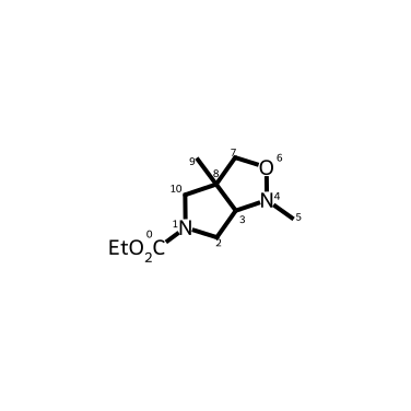 CCOC(=O)N1CC2N(C)OCC2(C)C1